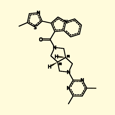 Cc1cc(C)nc(N2C[C@H]3CN(C(=O)c4c(-c5ncc(C)s5)cn5ccccc45)C[C@H]3C2)n1